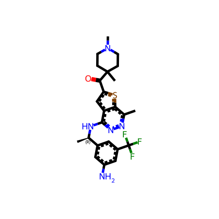 Cc1nnc(N[C@H](C)c2cc(N)cc(C(F)(F)F)c2)c2cc(C(=O)C3(C)CCN(C)CC3)sc12